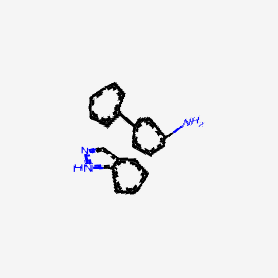 Nc1cccc(-c2ccccc2)c1.c1ccc2[nH]ncc2c1